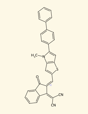 Cn1c(-c2ccc(-c3ccccc3)cc2)cc2sc(/C=C3\C(=O)c4ccccc4C3=C(C#N)C#N)cc21